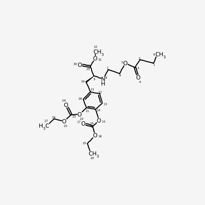 CCCC(=O)OCCN[C@@H](Cc1ccc(OC(=O)OCC)c(OC(=O)OCC)c1)C(=O)OC